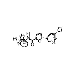 C[C@H]1[C@H](NC(=O)c2ccc(-c3cncc(Cl)c3)o2)C2CCN1CC2